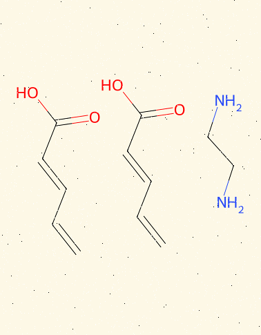 C=CC=CC(=O)O.C=CC=CC(=O)O.NCCN